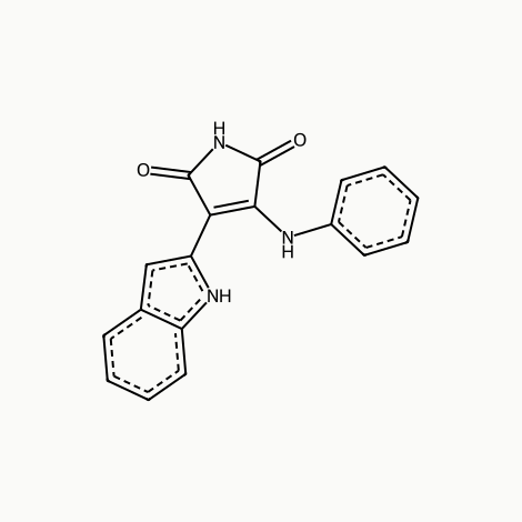 O=C1NC(=O)C(c2cc3ccccc3[nH]2)=C1Nc1ccccc1